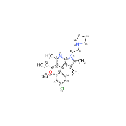 Cc1nc2c(c(C)c(C)n2CCN2CCCC2)c(-c2ccc(Cl)cc2)c1[C@H](OC(C)(C)C)C(=O)O